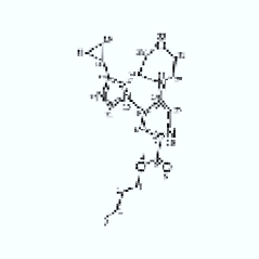 CCCCOC(=O)c1cc(-n2cnc(C3CC3)c2)c(N2CCOCC2)cn1